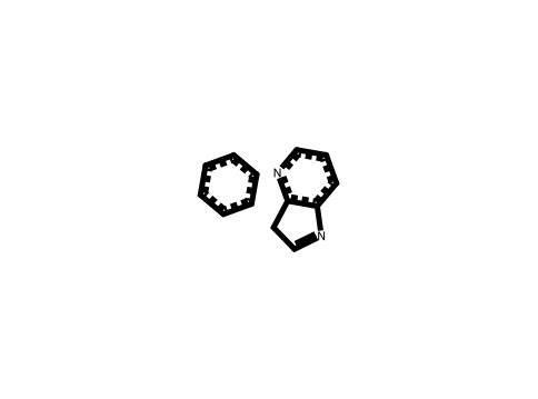 C1=Nc2cccnc2C1.c1ccccc1